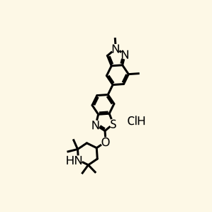 Cc1cc(-c2ccc3nc(OC4CC(C)(C)NC(C)(C)C4)sc3c2)cc2cn(C)nc12.Cl